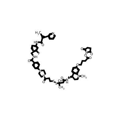 CC1C(C(=O)Nc2ccc(CNC(=O)c3ccc(N4CCN(C(=O)CCSSC(C)(C)CC(=O)N/N=C5\CCN(C)c6cc(OCCCC(=O)ON7C(=O)CCC7=O)ccc65)CC4)cc3)c(F)c2)C1c1cccnc1